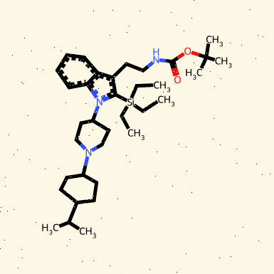 CC[Si](CC)(CC)c1c(CCNC(=O)OC(C)(C)C)c2ccccc2n1C1CCN(C2CCC(C(C)C)CC2)CC1